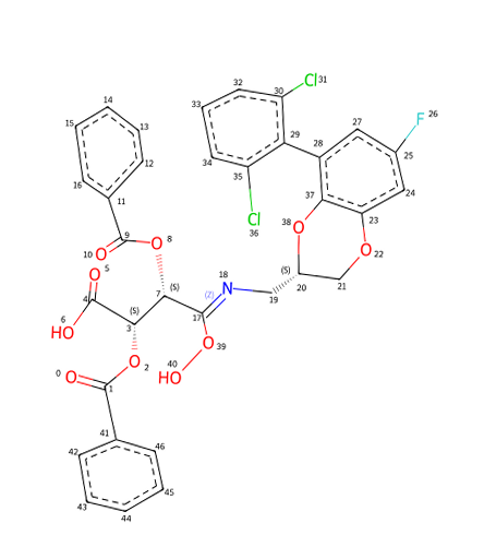 O=C(O[C@H](C(=O)O)[C@H](OC(=O)c1ccccc1)/C(=N/C[C@H]1COc2cc(F)cc(-c3c(Cl)cccc3Cl)c2O1)OO)c1ccccc1